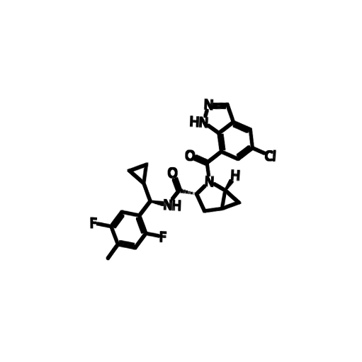 Cc1cc(F)c([C@H](NC(=O)[C@H]2CC3C[C@H]3N2C(=O)c2cc(Cl)cc3cn[nH]c23)C2CC2)cc1F